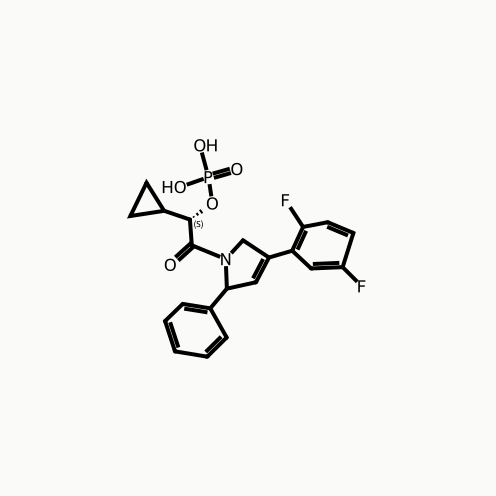 O=C([C@@H](OP(=O)(O)O)C1CC1)N1CC(c2cc(F)ccc2F)=CC1c1ccccc1